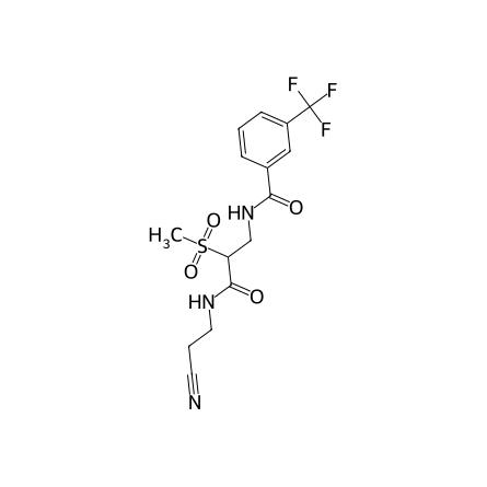 CS(=O)(=O)C(CNC(=O)c1cccc(C(F)(F)F)c1)C(=O)NCCC#N